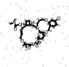 CN(C)C(=O)O[C@H]1/C=C/COC(C)(C)C(=O)NS(=O)(=O)c2ccc3c(c2)N(CCCOc2cc(Cl)ccc2CO3)C[C@@H]2CC[C@H]21